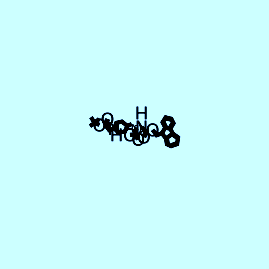 CC(C)(C)OC(=O)CN1CCC(C[C@H](NC(=O)OCC2c3ccccc3-c3ccccc32)C(=O)O)CC1